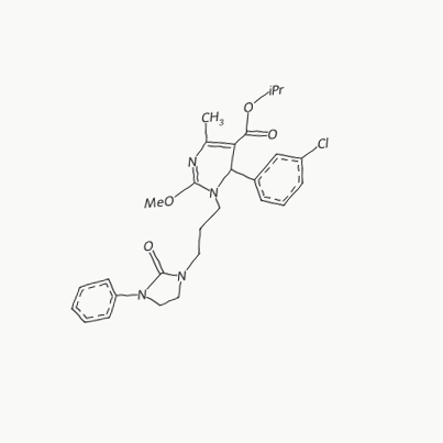 COC1=NC(C)=C(C(=O)OC(C)C)C(c2cccc(Cl)c2)N1CCCN1CCN(c2ccccc2)C1=O